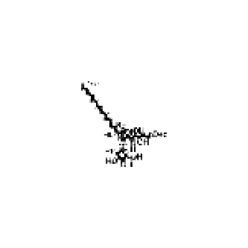 CCCCCCCCCCCCCCCCCCCCCCC[C@@H](O)[C@@H](O)C(=O)N[C@@H](CO[C@H]1O[C@H](CO)[C@H](O)[C@H](O)[C@H]1O)[C@H](O)[C@H](O)[C@@H](O)[C@@H](O)CCCCCCCCCCCC